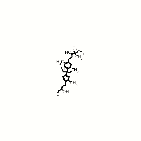 CCC(CC)(c1ccc(CCC(O)CO)c(C)c1)c1ccc(CCC(O)C(C)(C)C)c(C)c1